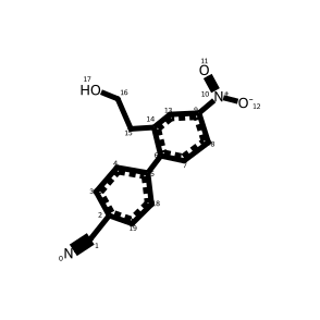 N#Cc1ccc(-c2ccc([N+](=O)[O-])cc2CCO)cc1